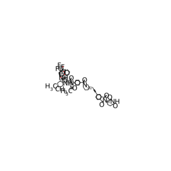 C[C@@H]1CN(C(=O)[C@@H]2NC3(CCC(C)(C)CC3)[C@@]3(CNc4cc(C(F)(F)F)ncc43)[C@H]2c2cccc(Cl)c2F)c2ccc(C(=O)N3CCC[C@@H](CC#Cc4ccc5c(c4)C(=O)N([C@H]4CCC(=O)NC4=O)C5=O)C3)cc2O1